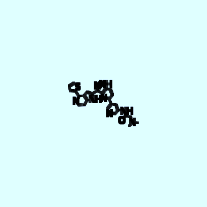 CN(C)CC(=O)Nc1cncc(-c2ccc3[nH]nc(-c4cc5c(-c6cccs6)nccc5[nH]4)c3n2)c1